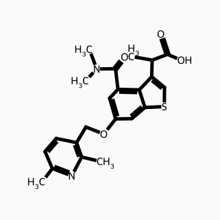 Cc1ccc(COc2cc(C(=O)N(C)C)c3c(C(C)C(=O)O)csc3c2)c(C)n1